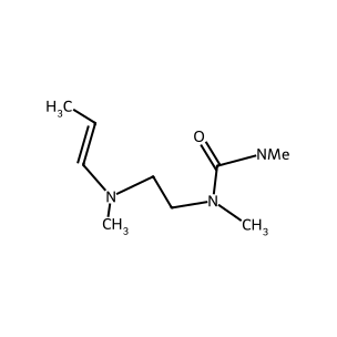 C/C=C/N(C)CCN(C)C(=O)NC